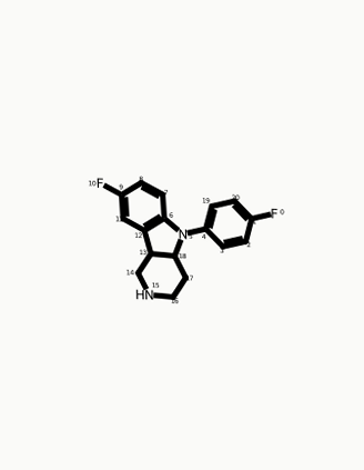 Fc1ccc(N2c3ccc(F)cc3C3CNCCC32)cc1